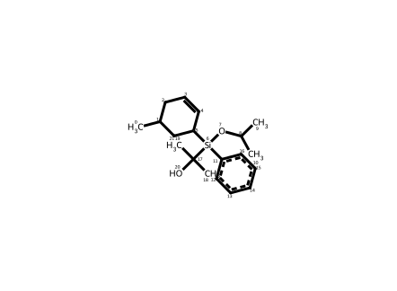 CC1CC=CC([Si](OC(C)C)(c2ccccc2)C(C)(C)O)C1